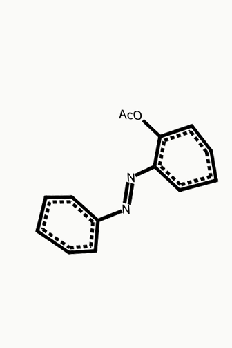 CC(=O)Oc1ccccc1N=Nc1ccccc1